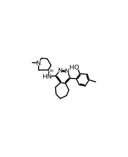 Cc1ccc(-c2nnc(N[C@@H]3CCCN(C)C3)c3c2CCCCC3)c(O)c1